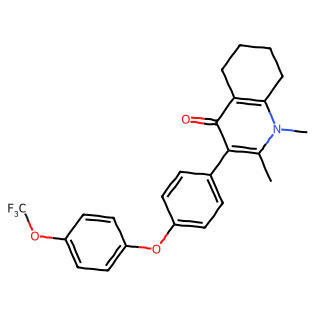 Cc1c(-c2ccc(Oc3ccc(OC(F)(F)F)cc3)cc2)c(=O)c2c(n1C)CCCC2